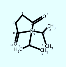 CC(C)[N+]1(C(C)C)C(=O)CCC1=O